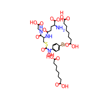 NC(CCC(=O)NC(CSC(=O)N(O)c1ccc(Br)cc1)C(=O)NCC(=O)O)C(=O)O.O=C(O)CCCCCCC(=O)O.O=C(O)CCCCCCC(=O)O